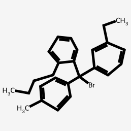 CCCCc1ccccc1C(Br)(c1ccc(C)cc1)c1cccc(CC)c1